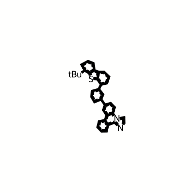 CC(C)(C)c1cccc2c1sc1c(-c3cccc(-c4ccc5c(c4)c4ccccc4c4nccn54)c3)cccc12